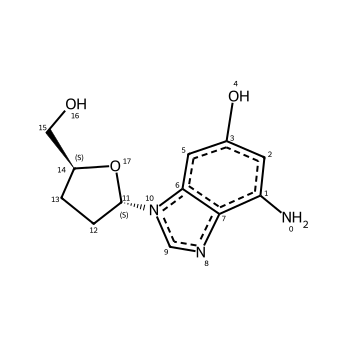 Nc1cc(O)cc2c1ncn2[C@@H]1CC[C@@H](CO)O1